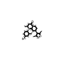 Cc1noc(C)c1-c1ccc2c(=O)cc(C)n(-c3ccc(Br)cc3F)c2c1